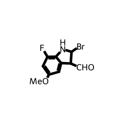 COc1cc(F)c2c(c1)C(C=O)C(Br)N2